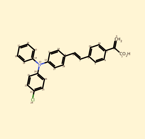 C=C(C(=O)O)c1ccc(C=Cc2ccc(N(c3ccccc3)c3ccc(Cl)cc3)cc2)cc1